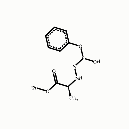 CC(C)OC(=O)[C@H](C)NSP(O)Oc1ccccc1